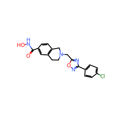 O=C(NO)c1ccc2c(c1)CCN(Cc1nc(-c3ccc(Cl)cc3)no1)C2